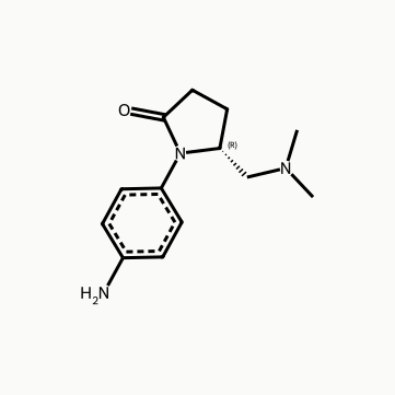 CN(C)C[C@H]1CCC(=O)N1c1ccc(N)cc1